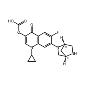 O=C(O)Oc1cn(C2CC2)c2cc(N3C[C@@H]4C[C@H]3CN4)c(F)cc2c1=O